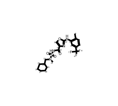 Cc1ccc(C(F)(F)F)cc1Nc1nc(C(=O)NS(=O)(=O)N(C)CC2CCCCC2)co1